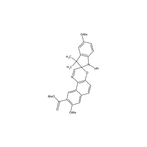 CCCN1c2ccc(OC)cc2C(C)(C)C12C=Nc1c(ccc3cc(OC)c(C(=O)OC)cc13)O2